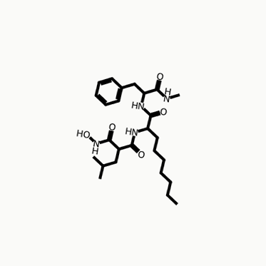 CCCCCCCC(NC(=O)C(CC(C)C)C(=O)NO)C(=O)NC(Cc1ccccc1)C(=O)NC